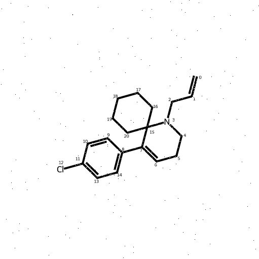 C=CCN1CCC=C(c2ccc(Cl)cc2)C12CCCCC2